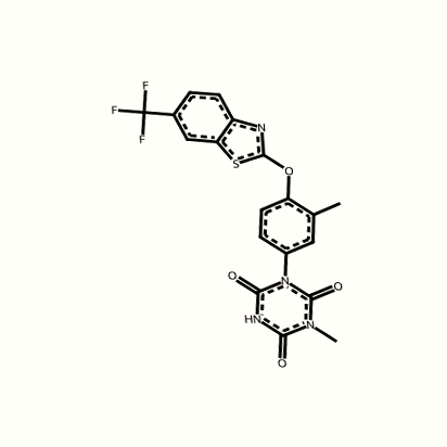 Cc1cc(-n2c(=O)[nH]c(=O)n(C)c2=O)ccc1Oc1nc2ccc(C(F)(F)F)cc2s1